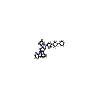 c1ccc(-c2ccc(-c3ccc(-n4c5ccccc5c5cc6c(cc54)c4cccc5c7ccccc7n6c54)cc3)cc2)cc1